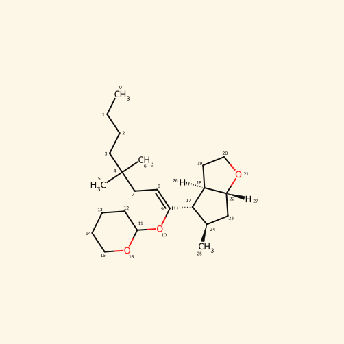 CCCCC(C)(C)CC=C(OC1CCCCO1)[C@@H]1[C@H]2CCO[C@@H]2C[C@H]1C